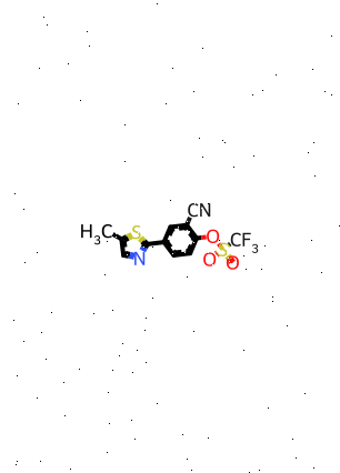 Cc1cnc(-c2ccc(OS(=O)(=O)C(F)(F)F)c(C#N)c2)s1